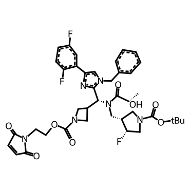 C[C@H](O)C(=O)N(C[C@@H]1CN(C(=O)OC(C)(C)C)C[C@@H]1F)[C@@H](c1nc(-c2cc(F)ccc2F)cn1Cc1ccccc1)C1CN(C(=O)OCCN2C(=O)C=CC2=O)C1